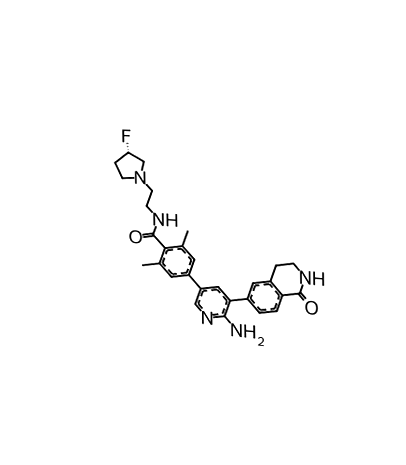 Cc1cc(-c2cnc(N)c(-c3ccc4c(c3)CCNC4=O)c2)cc(C)c1C(=O)NCCN1CC[C@H](F)C1